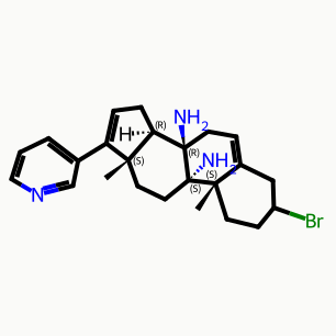 C[C@]12CCC(Br)CC1=CC[C@@]1(N)[C@@H]3CC=C(c4cccnc4)[C@@]3(C)CC[C@]21N